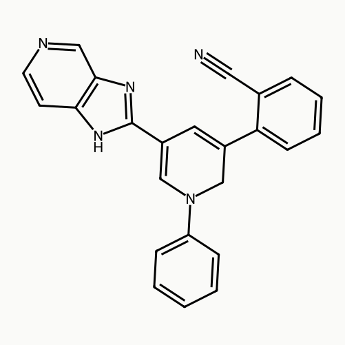 N#Cc1ccccc1C1=CC(c2nc3cnccc3[nH]2)=CN(c2ccccc2)C1